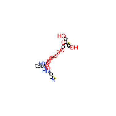 Cc1ncsc1-c1ccc(CNC(=O)[C@@H]2CCCN2C(=O)C(NC(=O)COCCOCCOCCOCCOc2ccc(C(=O)c3c(-c4ccc(O)cc4)sc4cc(O)ccc34)cc2)C(C)(C)C)cc1